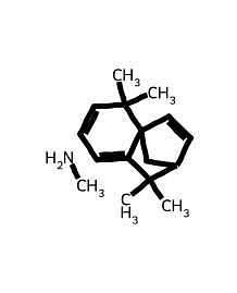 CC1(C)C2=CC=CC(C)(C)C23C=CC1C3.CN